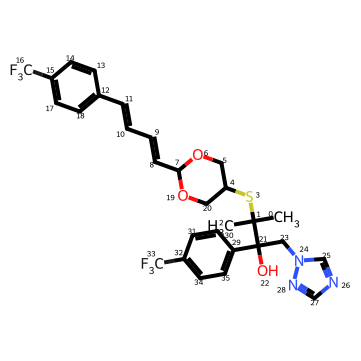 CC(C)(SC1COC(C=CC=Cc2ccc(C(F)(F)F)cc2)OC1)C(O)(Cn1cncn1)c1ccc(C(F)(F)F)cc1